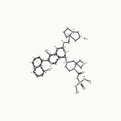 CCOP(=O)(CC(=O)N1CCN(c2nc(OC[C@@]34CCCN3C[C@H](F)C4)nc3c(F)c(-c4cccc5cccc(Cl)c45)ncc23)CC12COC2)OCC